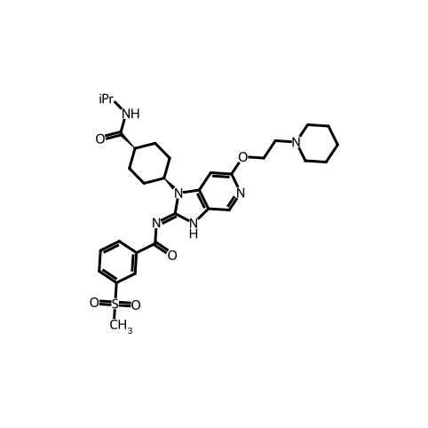 CC(C)NC(=O)[C@H]1CC[C@@H](n2/c(=N/C(=O)c3cccc(S(C)(=O)=O)c3)[nH]c3cnc(OCCN4CCCCC4)cc32)CC1